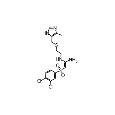 Cc1nc[nH]c1CSCCNC(N)=CS(=O)(=O)c1ccc(Cl)c(Cl)c1